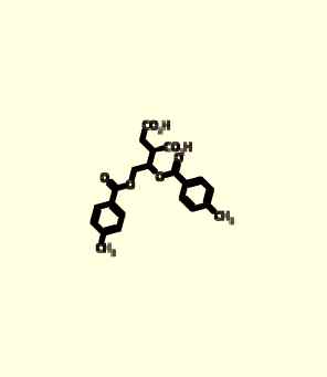 Cc1ccc(C(=O)OCC(OC(=O)c2ccc(C)cc2)[C@@H](CC(=O)O)C(=O)O)cc1